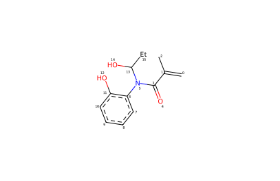 C=C(C)C(=O)N(c1ccccc1O)C(O)CC